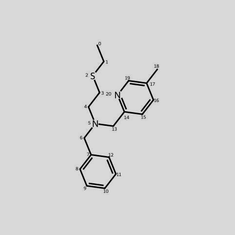 CCSCCN(Cc1ccccc1)Cc1ccc(C)cn1